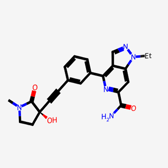 CCn1ncc2c(-c3cccc(C#C[C@]4(O)CCN(C)C4=O)c3)nc(C(N)=O)cc21